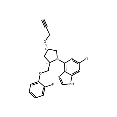 C#CCO[C@H]1C[C@H](COc2ccccc2F)N(c2nc(Cl)nc3[nH]cnc23)C1